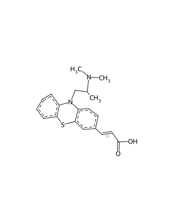 CC(CN1c2ccccc2Sc2cc(/C=C/C(=O)O)ccc21)N(C)C